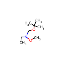 CCN(COC(C)(C)C)OC